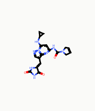 O=C1NC(=O)/C(=C/c2cnn3c(NC4CC4)cc(NC(=O)N4CC=CC4)nc23)N1